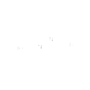 OC1CN(c2ccc(Br)cn2)C1